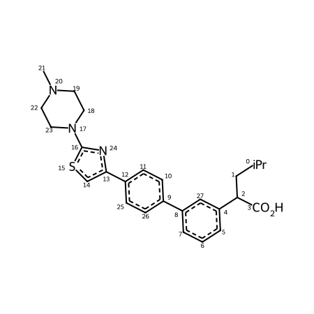 CC(C)CC(C(=O)O)c1cccc(-c2ccc(-c3csc(N4CCN(C)CC4)n3)cc2)c1